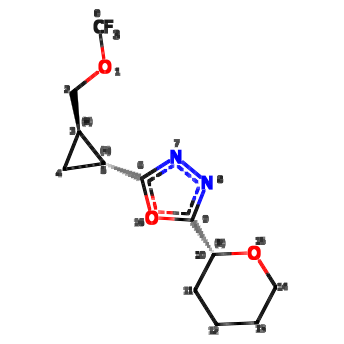 FC(F)(F)OC[C@@H]1C[C@H]1c1nnc([C@H]2CCCCO2)o1